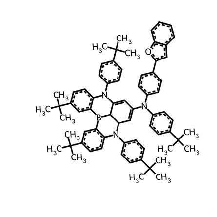 CC(C)(C)c1ccc(N(C2=CC3C4B(c5cc(C(C)(C)C)ccc5N(c5ccc(C(C)(C)C)cc5)C4=C2)c2cc(C(C)(C)C)ccc2N3c2ccc(C(C)(C)C)cc2)c2ccc(-c3cc4ccccc4o3)cc2)cc1